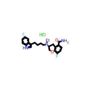 CCN(CCCCc1c[nH]c2ccc(F)cc12)C1COc2c(F)ccc(C(N)=O)c2C1.Cl